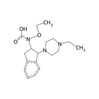 CCON(C(=O)O)C1Cc2ccccc2C1N1CCN(CC)CC1